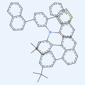 CC(C)(C)c1cc(-c2cccc3cccc(-c4ccccc4N(c4cc(-c5cccc6ccccc56)ccc4-c4ccccc4)c4cccc5sc6ccccc6c45)c23)cc(C(C)(C)C)c1